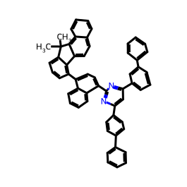 CC1(C)c2cccc(-c3ccc(-c4nc(-c5ccc(-c6ccccc6)cc5)cc(-c5cccc(-c6ccccc6)c5)n4)c4ccccc34)c2-c2ccc3ccccc3c21